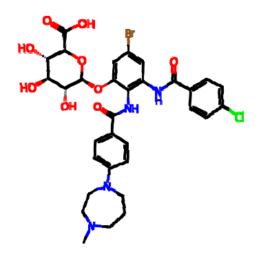 CN1CCCN(c2ccc(C(=O)Nc3c(NC(=O)c4ccc(Cl)cc4)cc(Br)cc3O[C@@H]3O[C@H](C(=O)O)[C@@H](O)[C@H](O)[C@H]3O)cc2)CC1